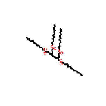 CCCCCCCCCCCCCC(=O)OCC(CCCC(CCC(=O)OCCCCCCCCCCCC)CCC(=O)OCCCCCCCCCCCC)CCC(=O)OCCCCCCCCCCCC